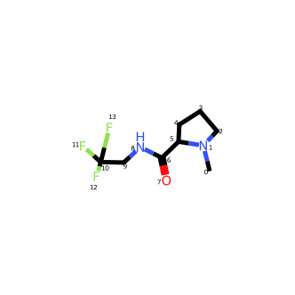 CN1CCCC1C(=O)NCC(F)(F)F